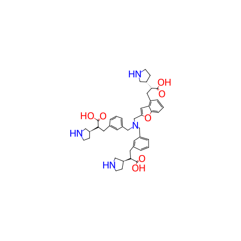 O=C(O)C(Cc1cccc(CN(Cc2cccc(CC(C(=O)O)[C@H]3CCNC3)c2)Cc2cc3c(CC(C(=O)O)[C@H]4CCNC4)cccc3o2)c1)[C@H]1CCNC1